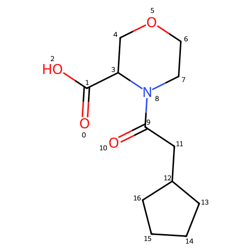 O=C(O)C1COCCN1C(=O)CC1CCCC1